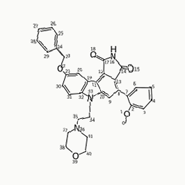 COc1ccccc1-c1cc2c(c3c1C(=O)NC3=O)c1cc(OCc3ccccc3)ccc1n2CCN1CCOCC1